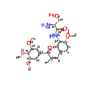 COc1ccc(C=C(C)C(=O)c2cc(OC)c(OC)c(OC)c2)cc1NC(=O)[C@@H](N)CO